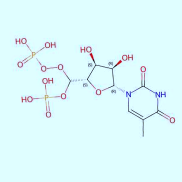 Cc1cn([C@@H]2O[C@H](C(OOP(=O)(O)O)OP(=O)(O)O)[C@@H](O)[C@H]2O)c(=O)[nH]c1=O